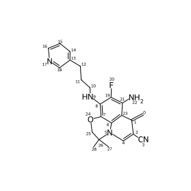 C=C1C(C#N)=CN2c3c(c(NCCCc4cccnc4)c(F)c(N)c31)OCC2(C)C